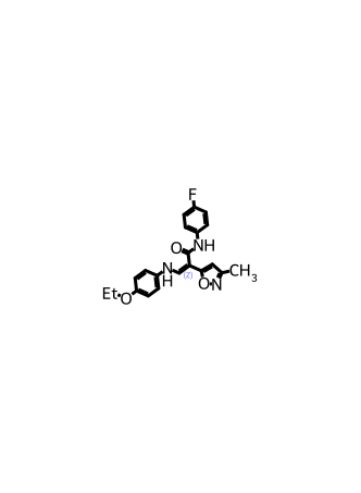 CCOc1ccc(N/C=C(\C(=O)Nc2ccc(F)cc2)c2cc(C)no2)cc1